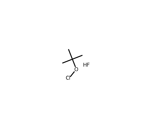 CC(C)(C)OCl.F